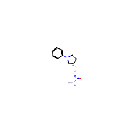 CN(/[N+]([O-])=N/O[C@@H]1CCN(c2ccccc2)C1)C(C)(C)C